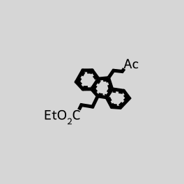 CCOC(=O)CCc1c2ccccc2c(CCC(C)=O)c2ccccc12